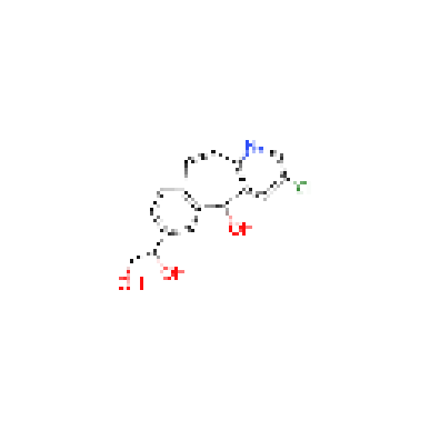 OCC(O)c1ccc2c(c1)C(O)c1cc(Cl)cnc1C=C2